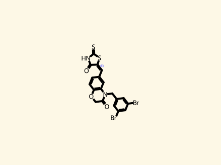 O=C1NC(=S)S/C1=C/c1ccc2c(c1)N(Cc1cc(Br)cc(Br)c1)C(=O)CO2